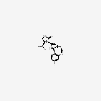 O=C1OCC(C(F)F)N1c1cn2c(n1)-c1ccc(I)cc1OCC2